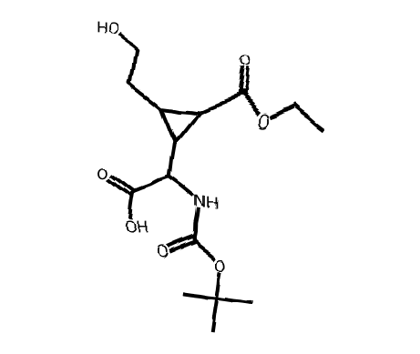 CCOC(=O)C1C(CCO)C1C(NC(=O)OC(C)(C)C)C(=O)O